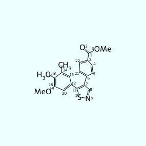 COC(=O)c1ccc(-c2cnsc2-c2cc(C)c(C)c(OC)c2)cc1